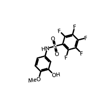 COc1ccc(NS(=O)(=O)c2c(F)c(F)c(F)c(F)c2F)cc1O